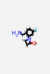 NCc1ccc(F)cc1N1CCC1=O